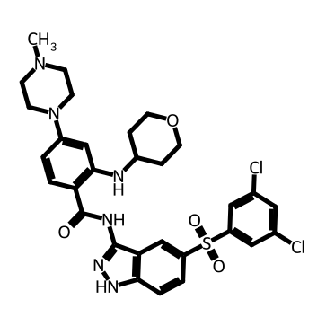 CN1CCN(c2ccc(C(=O)Nc3n[nH]c4ccc(S(=O)(=O)c5cc(Cl)cc(Cl)c5)cc34)c(NC3CCOCC3)c2)CC1